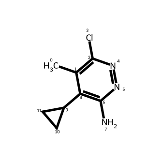 Cc1c(Cl)nnc(N)c1C1CC1